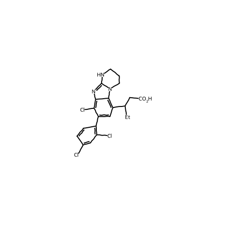 CCC(CC(=O)O)c1cc(-c2ccc(Cl)cc2Cl)c(Cl)c2nc3n(c12)CCCN3